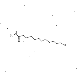 CCNC(=O)CCCCCCCCCCCS